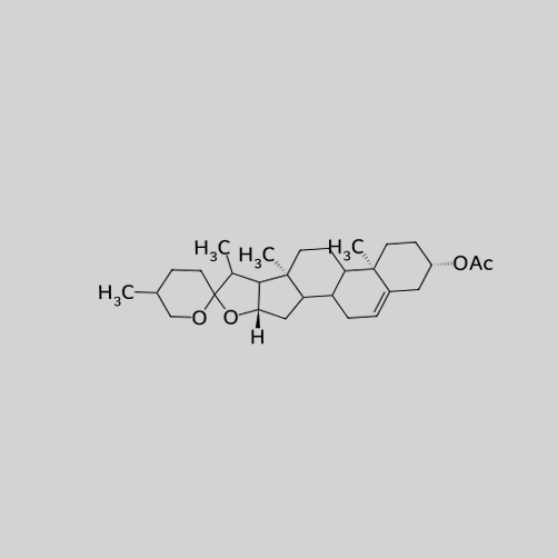 CC(=O)O[C@H]1CC[C@@]2(C)C(=CCC3C4C[C@@H]5OC6(CCC(C)CO6)C(C)C5[C@@]4(C)CCC32)C1